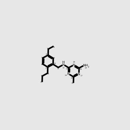 CCCc1ccc(CC)cc1CNc1nc(C)nc(N)n1